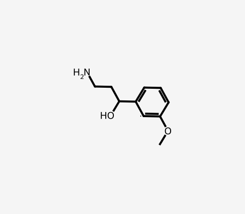 COc1[c]c(C(O)CCN)ccc1